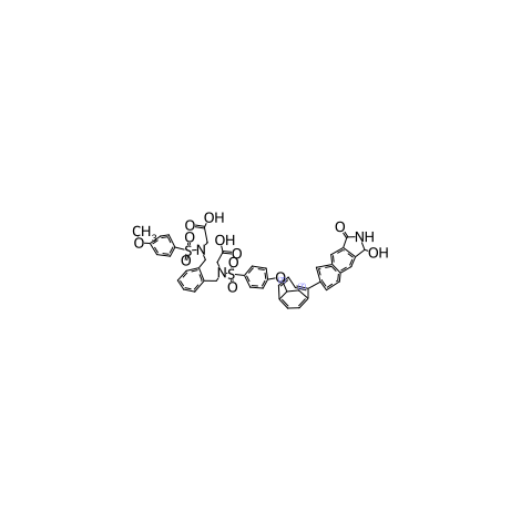 COc1ccc(S(=O)(=O)N(CC(=O)O)Cc2ccccc2CN(CC(=O)O)S(=O)(=O)c2ccc(OC3CC4=CC=C3/C=C\C=C\4c3ccc4cc5c(cc4c3)C(=O)NC5O)cc2)cc1